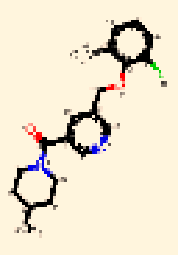 CC1CCN(C(=O)c2cncc(COc3c(Cl)cccc3[N+](=O)[O-])c2)CC1